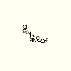 Cc1cc(N(C)Cc2ccc(Cl)s2)ccc1NC(=O)Cc1ccc(F)cc1